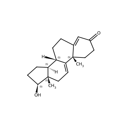 C[C@]12CCC(=O)C=C1CC[C@@H]1C2=CC[C@]2(C)[C@@H](O)CC[C@@H]12